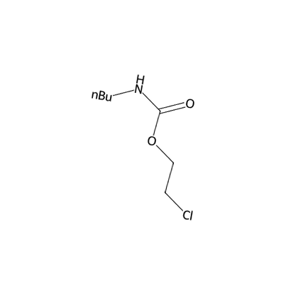 CCCCNC(=O)OCCCl